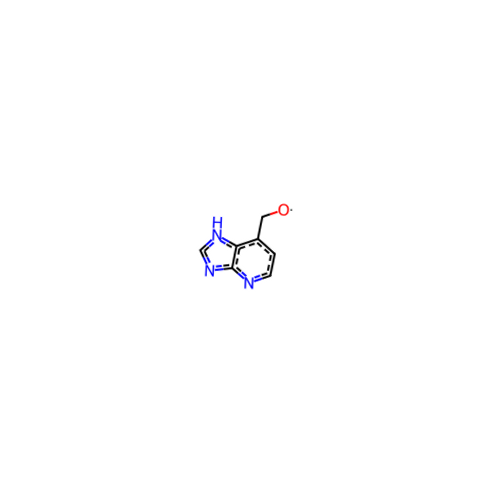 [O]Cc1ccnc2nc[nH]c12